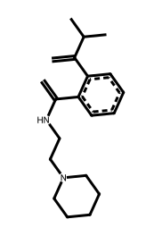 C=C(NCCN1CCCCC1)c1ccccc1C(=C)C(C)C